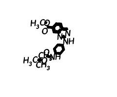 COC(=O)c1ccc2cnc(N[C@H]3CC[C@H](NC(=O)OC(C)(C)C)CC3)nc2c1